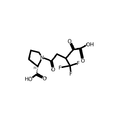 O=C(O)C(=O)C(CC(=O)N1CCC[C@H]1C(=O)O)C(F)(F)F